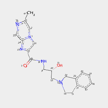 Cc1cn2cc(C(=O)NC[C@H](O)CN3CCc4ccccc4C3)nc2cn1